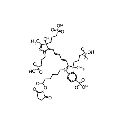 CC1=NN(CCCS(=O)(=O)O)\C(=C/C=C/C=C/C2=[N+](CCCCCC(=O)ON3C(=O)CCC3=O)c3ccc(S(=O)(=O)O)cc3C2(C)CCCS(=O)(=O)O)C1(C)CCCS(=O)(=O)O